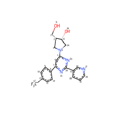 OC[C@H]1CN(c2cc(-c3ccc(C(F)(F)F)cc3)nc(-c3cccnc3)n2)C[C@H]1O